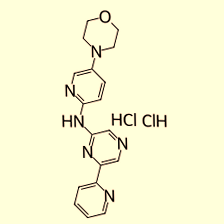 Cl.Cl.c1ccc(-c2cncc(Nc3ccc(N4CCOCC4)cn3)n2)nc1